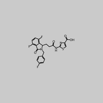 O=C(CCC1c2c(F)ccc(F)c2C(=O)N1Cc1ccc(F)cc1)Nc1nc(C(=O)O)cs1